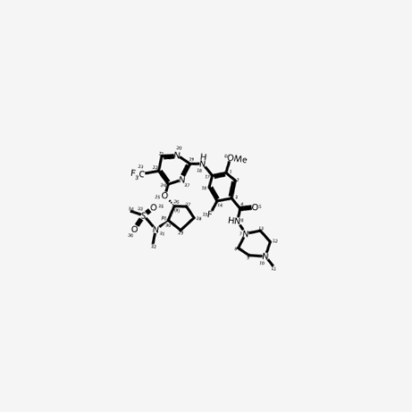 COc1cc(C(=O)NN2CCN(C)CC2)c(F)cc1Nc1ncc(C(F)(F)F)c(O[C@@H]2CCC[C@H]2N(C)S(C)(=O)=O)n1